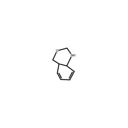 C1=CC2COCNC2C=C1